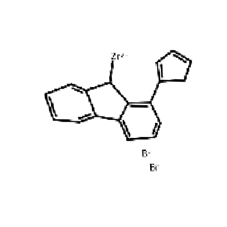 [Br-].[Br-].[Zr+2][CH]1c2ccccc2-c2cccc(C3=CC=CC3)c21